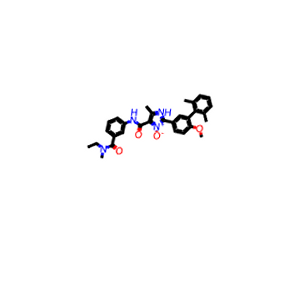 CCN(C)C(=O)c1cccc(NC(=O)c2c(C)[nH]c(-c3ccc(OC)c(-c4c(C)cccc4C)c3)[n+]2[O-])c1